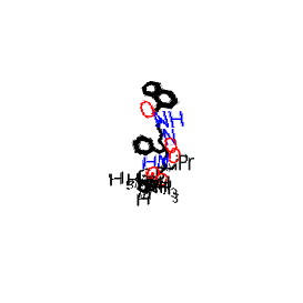 CC(C)C[C@H](NC(=O)C1(Cc2ccccc2)CC(CNC(=O)c2cccc3ccccc23)=NO1)B1O[C@@H]2C[C@@H]3C[C@@H](C3(C)C)[C@]2(C)O1